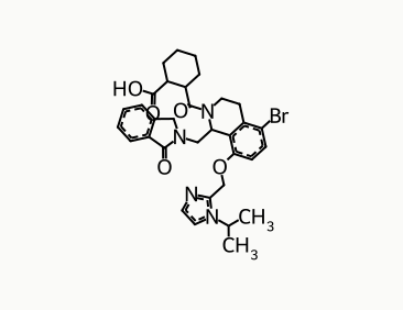 CC(C)n1ccnc1COc1ccc(Br)c2c1C(CN1Cc3ccccc3C1=O)N(C(=O)C1CCCCC1C(=O)O)CC2